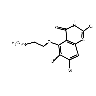 CNCCOc1c(Cl)c(Br)cc2nc(Cl)[nH]c(=O)c12